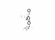 Bc1c(OCc2ccccc2)ccn(-c2ccc(C(=O)N3CCNCC3)cc2)c1=O